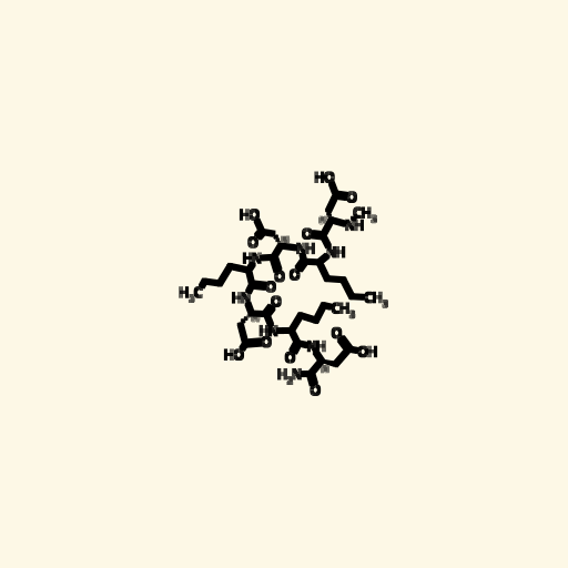 CCCCC(NC(=O)[C@H](CC(=O)O)NC)C(=O)N[C@@H](CC(=O)O)C(=O)NC(CCCC)C(=O)N[C@@H](CC(=O)O)C(=O)NC(CCCC)C(=O)N[C@@H](CC(=O)O)C(N)=O